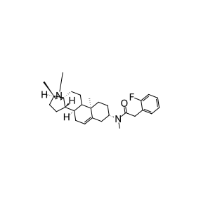 C[C@H]1[C@H]2CC[C@H]3[C@@H]4CC=C5C[C@@H](N(C)C(=O)Cc6ccccc6F)CC[C@]5(C)C4CC[C@]23CN1C